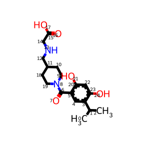 CC(C)c1cc(C(=O)N2CCC(CNCC(=O)O)CC2)c(O)cc1O